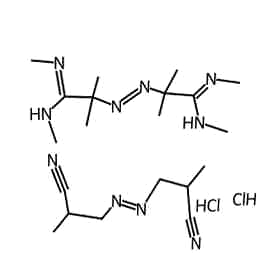 CC(C#N)CN=NCC(C)C#N.CN=C(NC)C(C)(C)N=NC(C)(C)C(=NC)NC.Cl.Cl